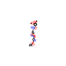 CCOc1ccc(C(=O)NCCc2ccc(S(=O)(=O)NC(=O)c3ccc(COC(=O)c4ccccc4C)nc3)cc2)cc1OCC